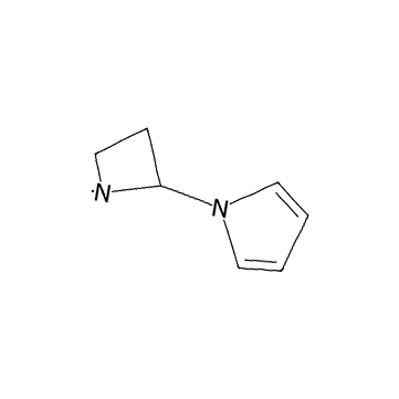 c1ccn(C2CC[N]2)c1